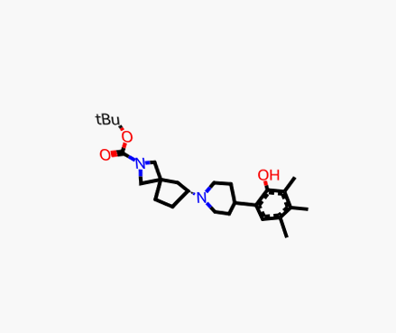 Cc1cc(C2CCN([C@@H]3CCC4(C3)CN(C(=O)OC(C)(C)C)C4)CC2)c(O)c(C)c1C